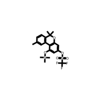 Cc1ccc2c(c1)-c1c(cc(OS(=O)(=O)C(F)(F)F)cc1O[Si](C)(C)C)OC2(C)C